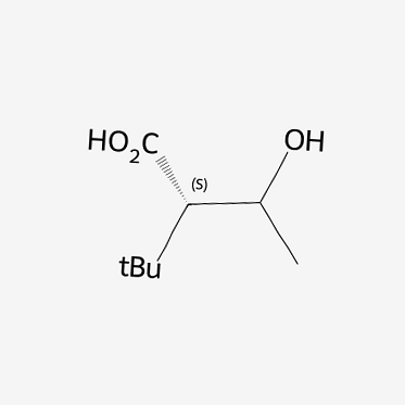 CC(O)[C@@H](C(=O)O)C(C)(C)C